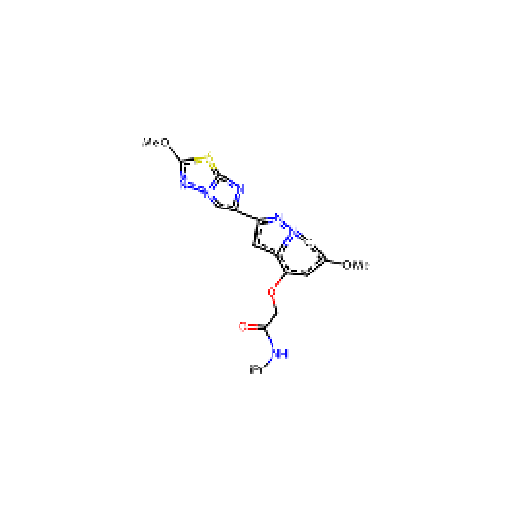 COc1cc(OCC(=O)NC(C)C)c2cc(-c3cn4nc(OC)sc4n3)nn2c1